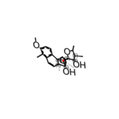 COc1ccc2c(c1C)C=C[C@@]1(C)[C@]23CC[C@]1(O)[C@H](C)[C@]1(OC(C)[C@@H](C)[C@H]1O)O3